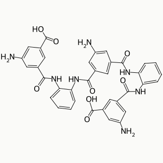 Nc1cc(C(=O)O)cc(C(=O)Nc2ccccc2NC(=O)c2cc(N)cc(C(=O)Nc3ccccc3NC(=O)c3cc(N)cc(C(=O)O)c3)c2)c1